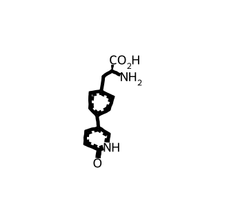 N[C@@H](Cc1ccc(-c2ccc(=O)[nH]c2)cc1)C(=O)O